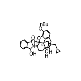 CCCCOc1ccc2c3c1O[C@H]1[C@H](N4C(=O)c5ccccc5C4O)CC[C@@]4(O)[C@@H](C2)N(CC2CC2)CC[C@]314